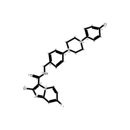 CCc1nc2cc(F)ccn2c1C(=O)NCc1ccc(N2CCN(c3ccc(Cl)cc3)CC2)cc1